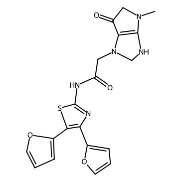 CN1CC(=O)C2=C1NCN2CC(=O)Nc1nc(-c2ccco2)c(-c2ccco2)s1